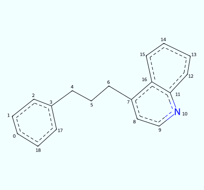 c1ccc(CCCc2ccnc3ccccc23)cc1